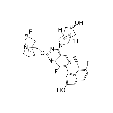 C#Cc1c(F)ccc2cc(O)cc(-c3ncc4c(N5C[C@H]6C[C@@H](O)C[C@H]6C5)nc(OC[C@@]56CCCN5C[C@H](F)C6)nc4c3F)c12